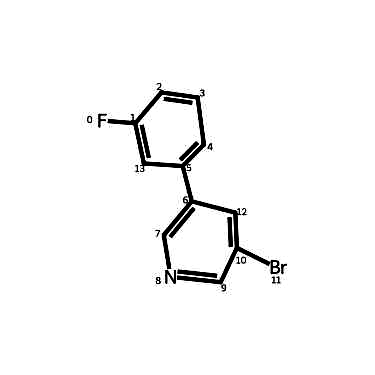 Fc1cccc(-c2cncc(Br)c2)c1